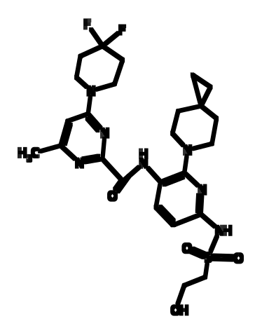 Cc1cc(N2CCC(F)(F)CC2)nc(C(=O)Nc2ccc(NS(=O)(=O)CCO)nc2N2CCC3(CC2)CC3)n1